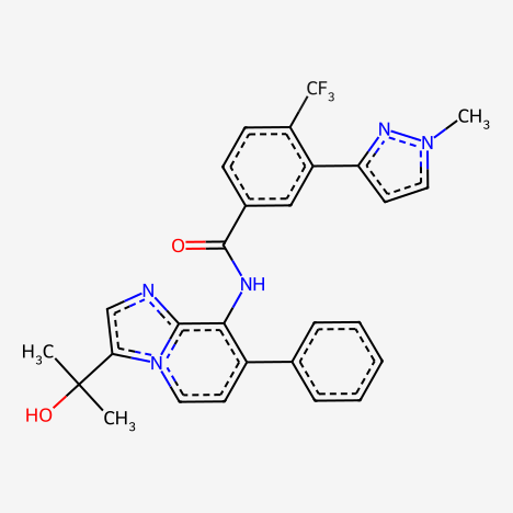 Cn1ccc(-c2cc(C(=O)Nc3c(-c4ccccc4)ccn4c(C(C)(C)O)cnc34)ccc2C(F)(F)F)n1